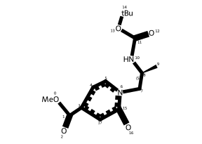 COC(=O)c1ccn(C[C@H](C)NC(=O)OC(C)(C)C)c(=O)c1